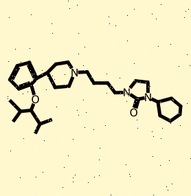 CC(C)C(Oc1ccccc1C1CCN(CCCCN2CCN(C3CCCCC3)C2=O)CC1)C(C)C